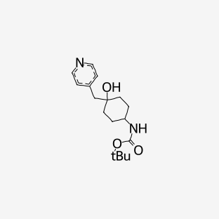 CC(C)(C)OC(=O)NC1CCC(O)(Cc2ccncc2)CC1